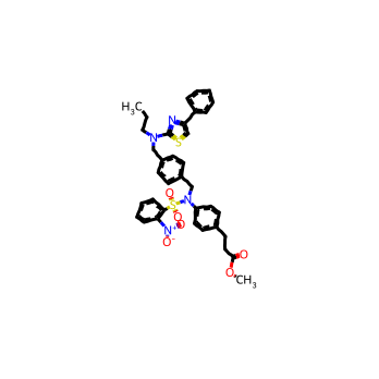 CCCN(Cc1ccc(CN(c2ccc(CCC(=O)OC)cc2)S(=O)(=O)c2ccccc2[N+](=O)[O-])cc1)c1nc(-c2ccccc2)cs1